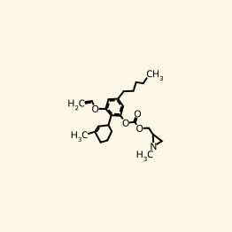 C=COc1cc(CCCCC)cc(OC(=O)OCC2CN2C)c1C1C=C(C)CCC1